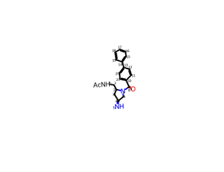 CC(=O)NCC1CC(=N)CN1C(=O)c1ccc(-c2ccccc2)cc1